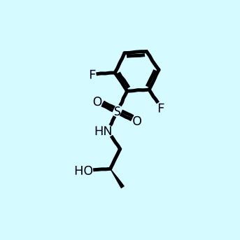 C[C@@H](O)CNS(=O)(=O)c1c(F)cccc1F